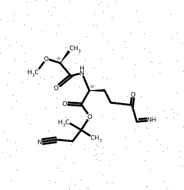 CO[C@@H](C)C(=O)N[C@@H](CCC(=O)C=N)C(=O)OC(C)(C)CC#N